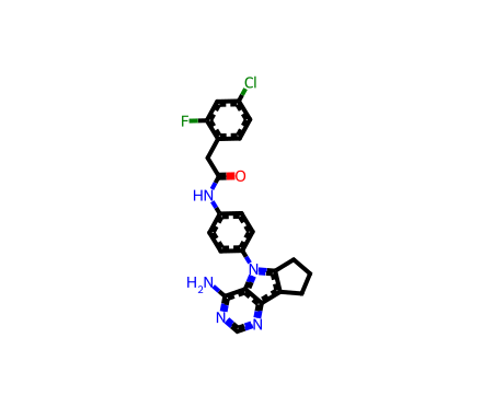 Nc1ncnc2c3c(n(-c4ccc(NC(=O)Cc5ccc(Cl)cc5F)cc4)c12)CCC3